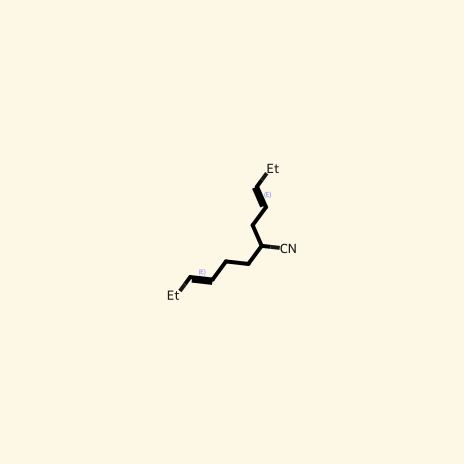 CC/C=C/CCC(C#N)C/C=C/CC